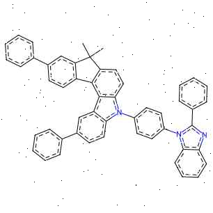 CC1(C)c2cc(-c3ccccc3)ccc2-c2c1ccc1c2c2cc(-c3ccccc3)ccc2n1-c1ccc(-n2c(-c3ccccc3)nc3ccccc32)cc1